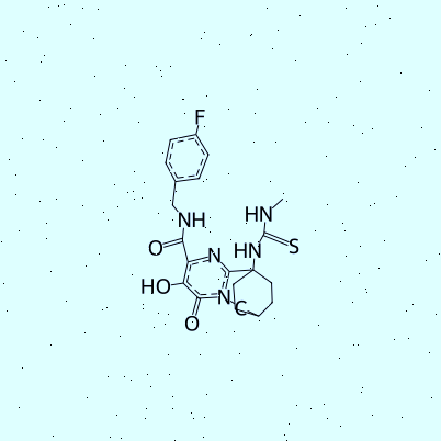 CNC(=S)NC12CCC(CC1)Cn1c2nc(C(=O)NCc2ccc(F)cc2)c(O)c1=O